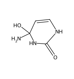 NC1(O)C=CNC(=O)N1